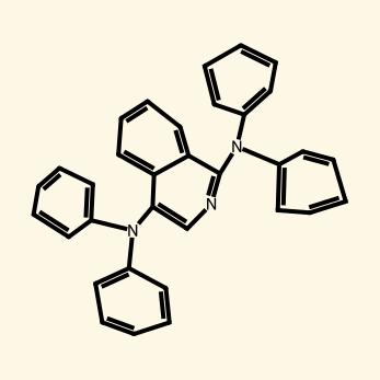 c1ccc(N(c2ccccc2)c2cnc(N(c3ccccc3)c3ccccc3)c3ccccc23)cc1